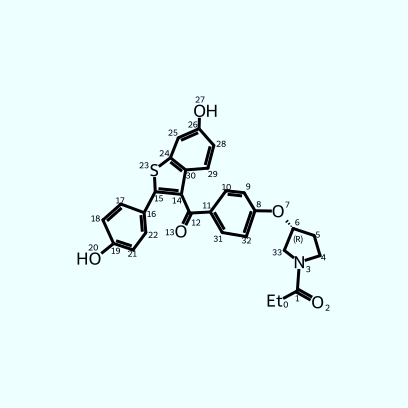 CCC(=O)N1CC[C@@H](Oc2ccc(C(=O)c3c(-c4ccc(O)cc4)sc4cc(O)ccc34)cc2)C1